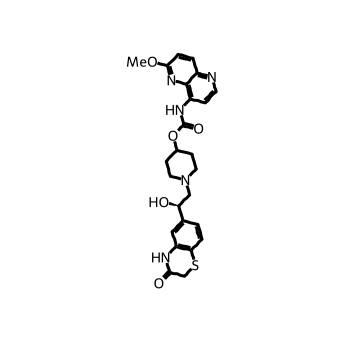 COc1ccc2nccc(NC(=O)OC3CCN(C[C@H](O)c4ccc5c(c4)NC(=O)CS5)CC3)c2n1